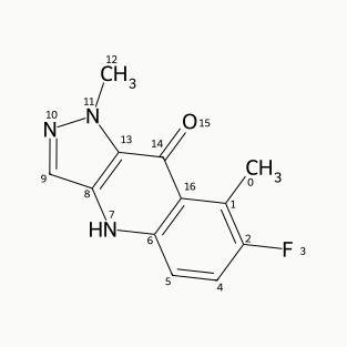 Cc1c(F)ccc2[nH]c3cnn(C)c3c(=O)c12